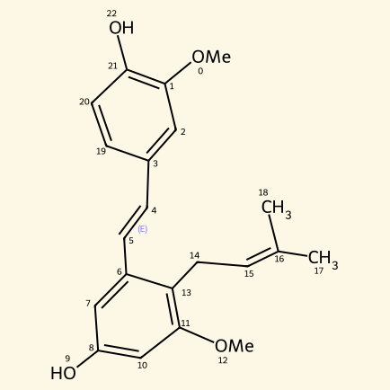 COc1cc(/C=C/c2cc(O)cc(OC)c2CC=C(C)C)ccc1O